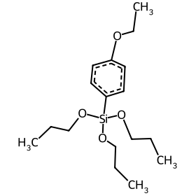 CCCO[Si](OCCC)(OCCC)c1ccc(OCC)cc1